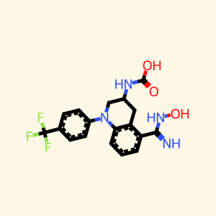 N=C(NO)c1cccc2c1CC(NC(=O)O)CN2c1ccc(C(F)(F)F)cc1